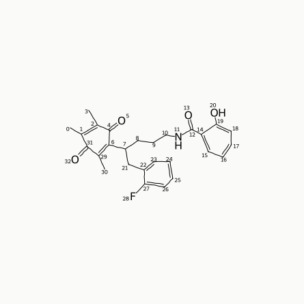 CC1=C(C)C(=O)C(C(CCCNC(=O)c2ccccc2O)Cc2ccccc2F)=C(C)C1=O